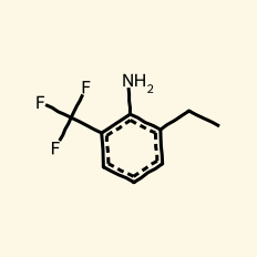 CCc1cccc(C(F)(F)F)c1N